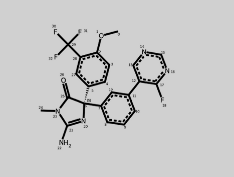 COc1ccc([C@]2(c3cccc(-c4cncnc4F)c3)N=C(N)N(C)C2=O)cc1C(F)(F)F